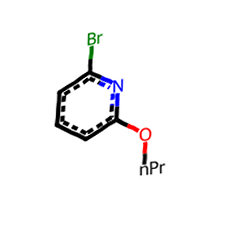 CCCOc1cccc(Br)n1